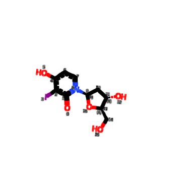 O=c1c(I)c(O)ccn1[C@H]1C[C@H](O)[C@@H](CO)O1